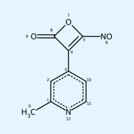 Cc1cc(C2=C(N=O)OC2=O)ccn1